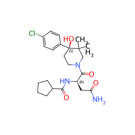 CC1(C)CN(C(=O)[C@@H](CC(N)=O)NC(=O)C2CCCC2)CC[C@]1(O)c1ccc(Cl)cc1